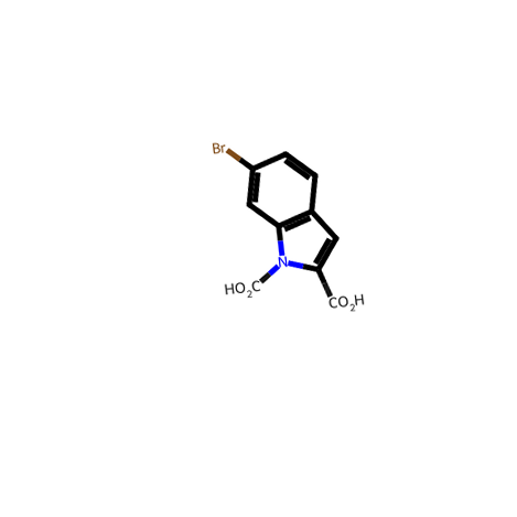 O=C(O)c1cc2ccc(Br)cc2n1C(=O)O